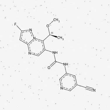 CO[C@@H](C)c1c(NC(=O)Nc2cncc(C#N)c2)cnc2cc(F)nn12